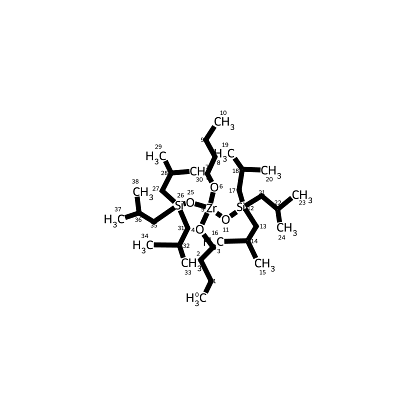 CCCC[O][Zr]([O]CCCC)([O][Si](CC(C)C)(CC(C)C)CC(C)C)[O][Si](CC(C)C)(CC(C)C)CC(C)C